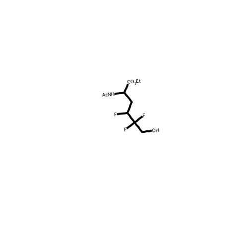 CCOC(=O)C(CC(F)C(F)(F)CO)NC(C)=O